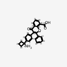 NC1(c2ccc(-c3c(-c4ccccc4)oc4c(C(=O)O)cccc4c3=O)cc2)CCC1